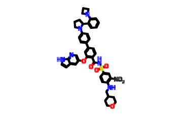 O=C(NS(=O)(=O)c1ccc(NCC2CCOCC2)c([N+](=O)[O-])c1)c1ccc(-c2ccc(N3CCCC3c3ccccc3N3CCC3)cc2)cc1Oc1cnc2[nH]ccc2c1